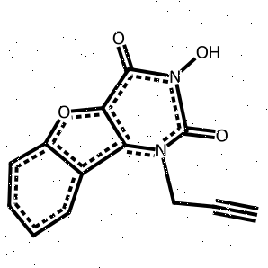 C#CCn1c(=O)n(O)c(=O)c2oc3ccccc3c21